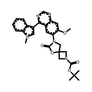 COc1cc2ncnc(-c3cn(C)c4ccccc34)c2cc1N1CC2(CN(C(=O)OC(C)(C)C)C2)OC1=O